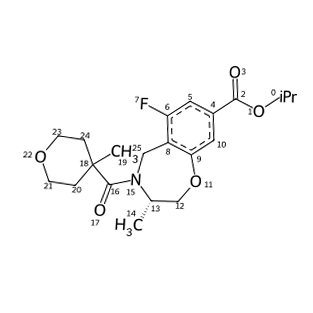 CC(C)OC(=O)c1cc(F)c2c(c1)OC[C@H](C)N(C(=O)C1(C)CCOCC1)C2